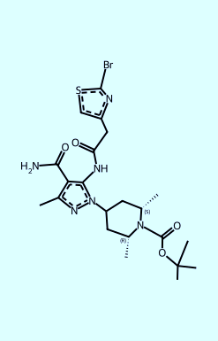 Cc1nn(C2C[C@@H](C)N(C(=O)OC(C)(C)C)[C@@H](C)C2)c(NC(=O)Cc2csc(Br)n2)c1C(N)=O